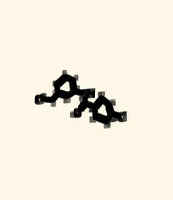 O=C(Nc1cccc(CCl)c1)c1ccc(Cl)cc1